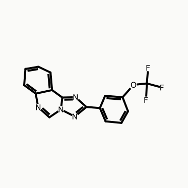 FC(F)(F)Oc1cccc(-c2nc3c4ccccc4ncn3n2)c1